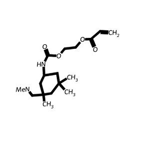 C=CC(=O)OCCOC(=O)NC1CC(C)(C)CC(C)(CNC)C1